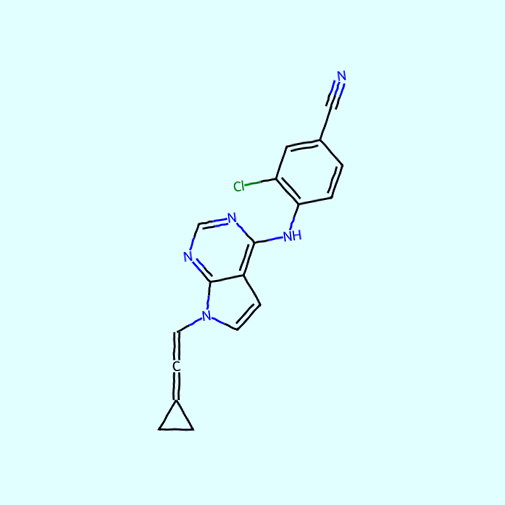 N#Cc1ccc(Nc2ncnc3c2ccn3C=C=C2CC2)c(Cl)c1